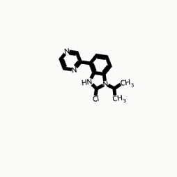 CC(C)N1c2cccc(-c3cnccn3)c2NC1Cl